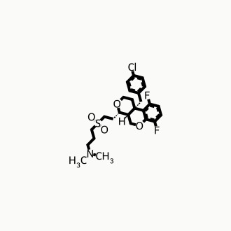 CN(C)CCCS(=O)(=O)CC[C@@H]1OCC[C@@]2(Cc3ccc(Cl)cc3)c3c(F)ccc(F)c3OC[C@@H]12